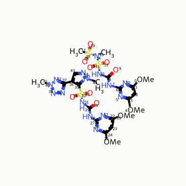 COc1cc(OC)nc(NC(=O)NS(=O)(=O)N(C)S(C)(=O)=O)n1.COc1cc(OC)nc(NC(=O)NS(=O)(=O)c2c(-c3nnn(C)n3)cnn2C)n1